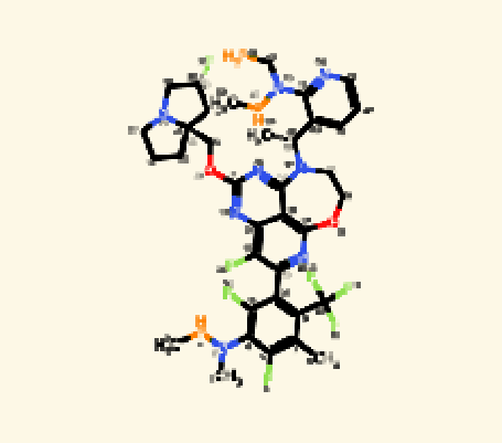 CPN(C)c1c(F)c(C)c(C(F)(F)F)c(-c2nc3c4c(nc(OC[C@@]56CCCN5C[C@H](F)C6)nc4c2F)N([C@H](C)c2cccnc2N(CP)PC)CCO3)c1F